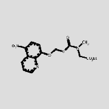 CCOC(=O)CN(C)C(=O)OCOc1ccc([N+](=O)[O-])c2cccnc12